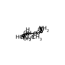 CC(=O)O.NS(=O)(=O)c1cccc(COCCOCCCCCCNC[C@H](O)c2ccc(O)c(CO)c2)c1